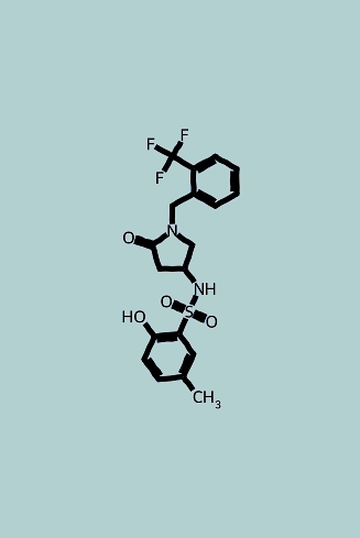 Cc1ccc(O)c(S(=O)(=O)NC2CC(=O)N(Cc3ccccc3C(F)(F)F)C2)c1